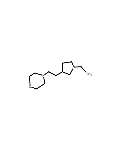 CCN1CCC(CCN2CCOCC2)C1